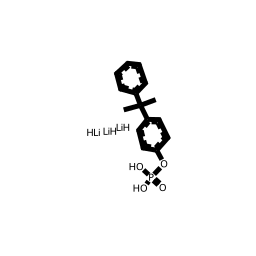 CC(C)(c1ccccc1)c1ccc(OP(=O)(O)O)cc1.[LiH].[LiH].[LiH]